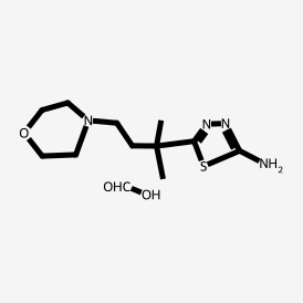 CC(C)(CCN1CCOCC1)c1nnc(N)s1.O=CO